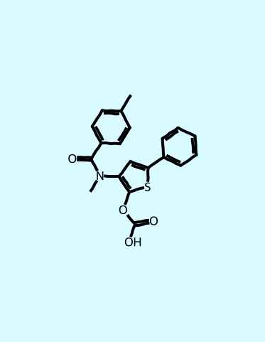 Cc1ccc(C(=O)N(C)c2cc(-c3ccccc3)sc2OC(=O)O)cc1